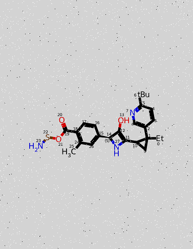 CCC1(c2ccc(C(C)(C)C)nc2)CC1C1=C(O)[C@H](c2ccc(C(=O)OSN)c(C)c2)N1